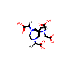 CCC1(N(CC(=O)O)CC(=O)O)CN(C(C)C(=O)O)CCN(C(C)C(=O)O)C1